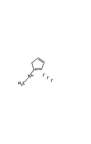 [CH3][Ti+3][C]1=CC=CC1.[I-].[I-].[I-]